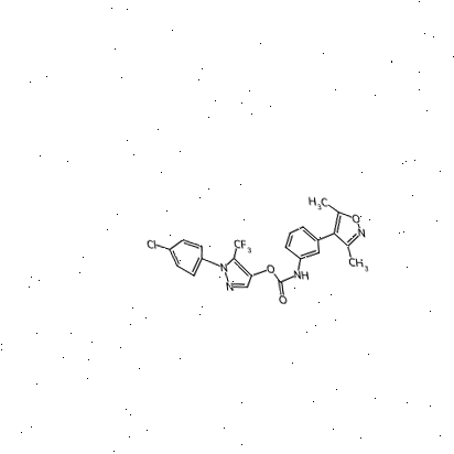 Cc1noc(C)c1-c1cccc(NC(=O)Oc2cnn(-c3ccc(Cl)cc3)c2C(F)(F)F)c1